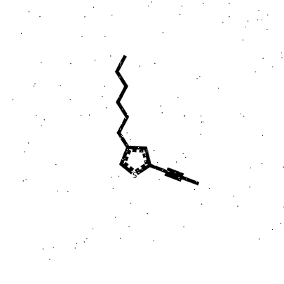 CC#Cc1cc(CCCCCC)cs1